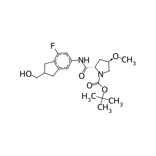 CO[C@@H]1C[C@@H](C(=O)Nc2cc(F)c3c(c2)CC(CO)C3)N(C(=O)OC(C)(C)C)C1